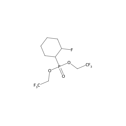 O=P(OCC(F)(F)F)(OCC(F)(F)F)C1CCCCC1F